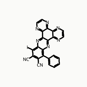 N#Cc1c(C#N)c(-c2ccccc2)c2nc3c4nccnc4c4nccnc4c3nc2c1I